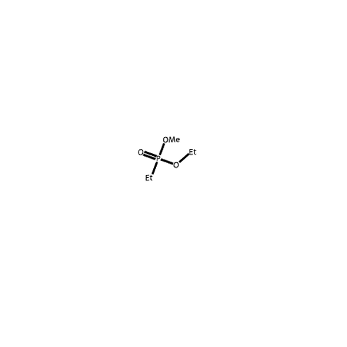 CCOP(=O)(CC)OC